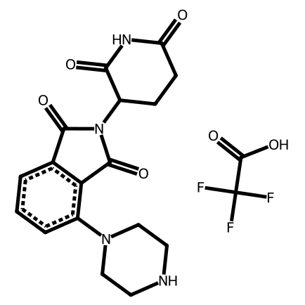 O=C(O)C(F)(F)F.O=C1CCC(N2C(=O)c3cccc(N4CCNCC4)c3C2=O)C(=O)N1